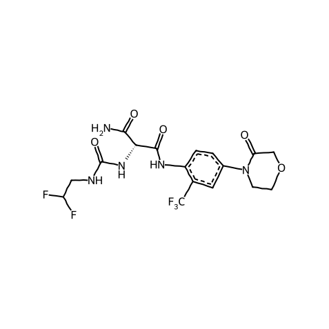 NC(=O)[C@@H](NC(=O)NCC(F)F)C(=O)Nc1ccc(N2CCOCC2=O)cc1C(F)(F)F